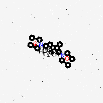 C[Si](C)(C)C1([Si](C)(C)C)c2c(ccc3cc(N(c4cccc(-c5ccccc5)c4)c4cccc5c4oc4ccccc45)ccc23)-c2c1c1ccc(N(c3cccc(-c4ccccc4)c3)c3cccc4c3oc3ccccc34)cc1c1ccccc21